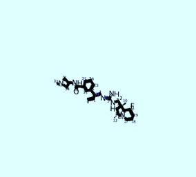 C=C/C(=C\N=C(/N)NC[C@@](C)(C[C@@H](C)F)c1ncccc1F)c1cccc(C(=O)NC2CN(C)C2)c1